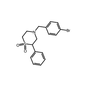 O=S1(=O)CCN(Cc2ccc(Br)cc2)CC1c1ccccc1